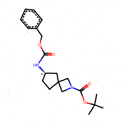 CC(C)(C)OC(=O)N1CC2(CC[C@@H](NC(=O)OCc3ccccc3)C2)C1